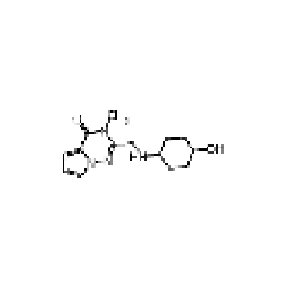 Cn1c(CNC2CCC(O)CC2)nn2cccc2c1=O